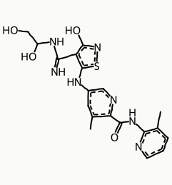 Cc1cccnc1NC(=O)c1ncc(Nc2snc(O)c2C(=N)NC(O)CO)cc1C